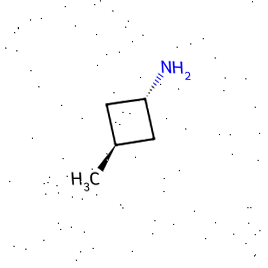 C[C@H]1C[C@H](N)C1